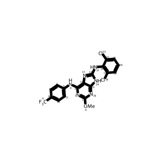 COc1nc(Nc2ccc(C(F)(F)F)cc2)c2nc(Nc3c(Cl)cccc3Cl)[nH]c2n1